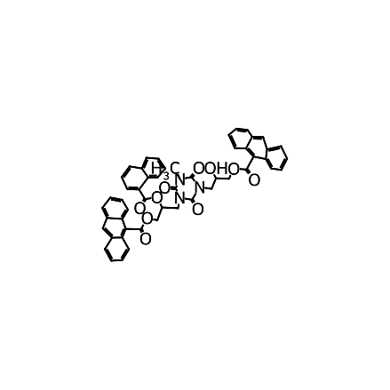 Cn1c(=O)n(CC(O)COC(=O)c2c3ccccc3cc3ccccc23)c(=O)n(CC(COC(=O)c2c3ccccc3cc3ccccc23)OC(=O)c2cccc3ccccc23)c1=O